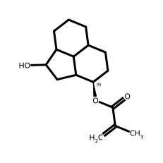 C=C(C)C(=O)O[C@@H]1CCC2CCCC3C(O)CC1C23